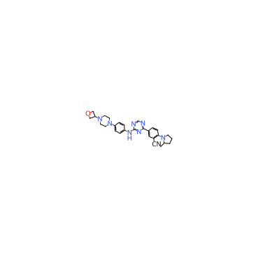 CC1CCCN1c1ccc(-c2ncnc(Nc3ccc(N4CCN(C5COC5)CC4)cc3)n2)cc1C#N